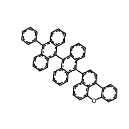 c1ccc(-c2c3ccccc3c(-c3c4ccccc4c(-c4ccc5c6c(cccc46)Oc4ccccc4-5)c4ccccc34)c3ccccc23)cc1